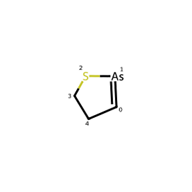 C1=[As]SCC1